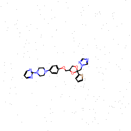 c1cnc(N2CCN(c3ccc(OCC4COC(Cn5cncn5)(c5cccs5)O4)cc3)CC2)nc1